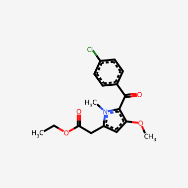 CCOC(=O)Cc1cc(OC)c(C(=O)c2ccc(Cl)cc2)n1C